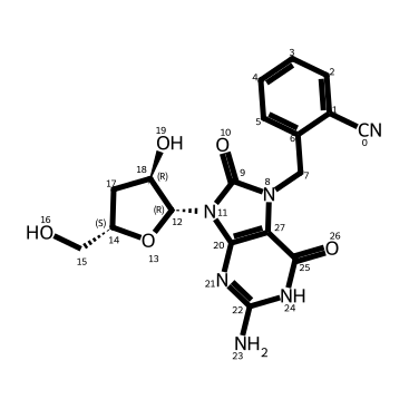 N#Cc1ccccc1Cn1c(=O)n([C@@H]2O[C@H](CO)C[C@H]2O)c2nc(N)[nH]c(=O)c21